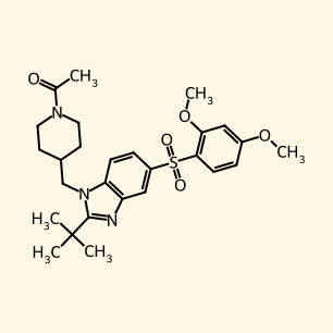 COc1ccc(S(=O)(=O)c2ccc3c(c2)nc(C(C)(C)C)n3CC2CCN(C(C)=O)CC2)c(OC)c1